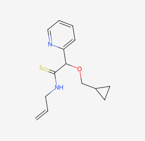 C=CCNC(=S)C(OCC1CC1)c1ccccn1